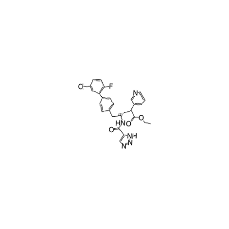 CCOC(=O)C(C[C@@H](Cc1ccc(-c2cc(Cl)ccc2F)cc1)NC(=O)c1cnn[nH]1)c1cccnc1